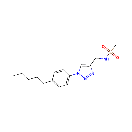 CCCCCc1ccc(-n2cc(CNS(C)(=O)=O)nn2)cc1